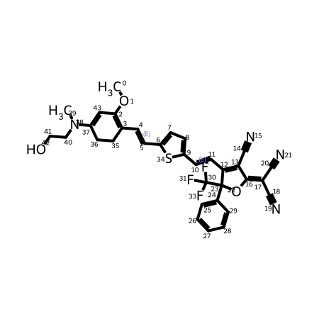 COC1=C(/C=C/c2ccc(/C=C/C3=C(C#N)C(=C(C#N)C#N)OC3(c3ccccc3)C(F)(F)F)s2)CCC(N(C)CCO)=C1